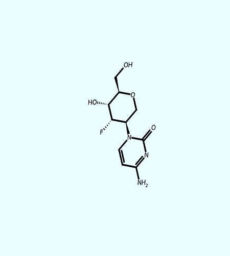 Nc1ccn([C@@H]2CO[C@H](CO)[C@@H](O)[C@H]2F)c(=O)n1